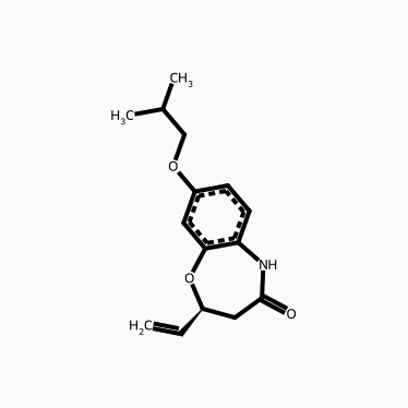 C=C[C@@H]1CC(=O)Nc2ccc(OCC(C)C)cc2O1